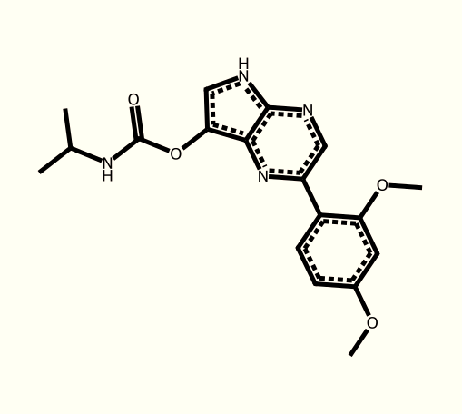 COc1ccc(-c2cnc3[nH]cc(OC(=O)NC(C)C)c3n2)c(OC)c1